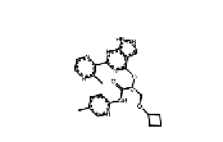 Cc1ccc(NC(=O)[C@H](COC2CCC2)Oc2nc(-c3nccnc3C)nc3[nH]ncc23)nc1